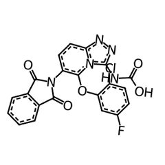 O=C(O)Nc1nnc2ccc(N3C(=O)c4ccccc4C3=O)c(Oc3cc(F)ccc3Cl)n12